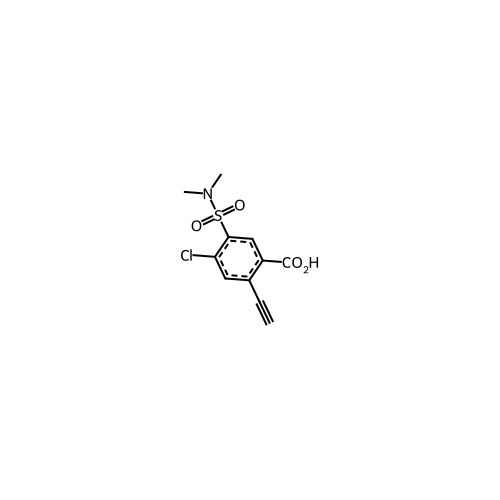 C#Cc1cc(Cl)c(S(=O)(=O)N(C)C)cc1C(=O)O